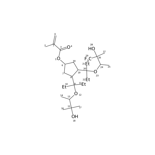 C=C(C)C(=O)OC1CC(C(CC)(CC)OC(C)C(C)(C)O)C(C(CC)(CC)OC(C)C(C)(O)C(F)(F)F)C1